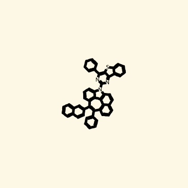 C1=CC(c2nc(-n3c4cccc5c4c4c6c(cccc6ccc43)C(c3ccccc3)=C5c3ccc4ccccc4c3)nc3c2sc2ccccc23)=CCC1